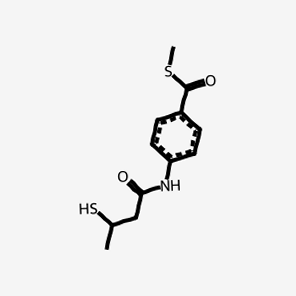 CSC(=O)c1ccc(NC(=O)CC(C)S)cc1